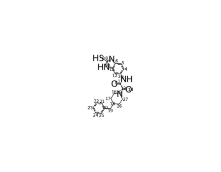 O=C(Nc1ccc2nc(S)[nH]c2c1)C(=O)N1CCC(Cc2ccccc2)CC1